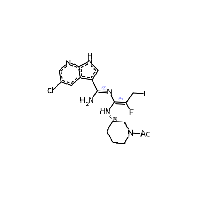 CC(=O)N1CCC[C@H](NC(/N=C(\N)c2c[nH]c3ncc(Cl)cc23)=C(\F)CI)C1